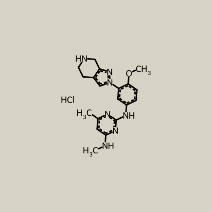 CNc1cc(C)nc(Nc2ccc(OC)c(-n3cc4c(n3)CNCC4)c2)n1.Cl